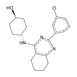 O[C@H]1CC[C@H](Nc2nc(-c3cccc(Cl)c3)nc3c2CCCC3)CC1